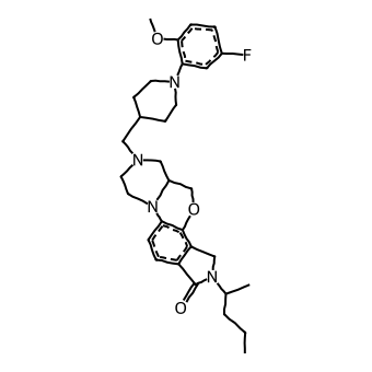 CCCC(C)N1Cc2c(ccc3c2OCC2CN(CC4CCN(c5cc(F)ccc5OC)CC4)CCN32)C1=O